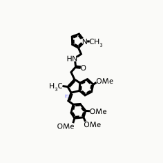 COc1ccc2c(c1)C(CC(=O)NCc1cccn1C)=C(C)/C2=C/c1cc(OC)c(OC)c(OC)c1